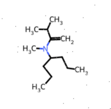 C=C(C(C)C)N(C)C(CCC)CCC